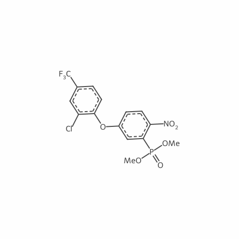 COP(=O)(OC)c1cc(Oc2ccc(C(F)(F)F)cc2Cl)ccc1[N+](=O)[O-]